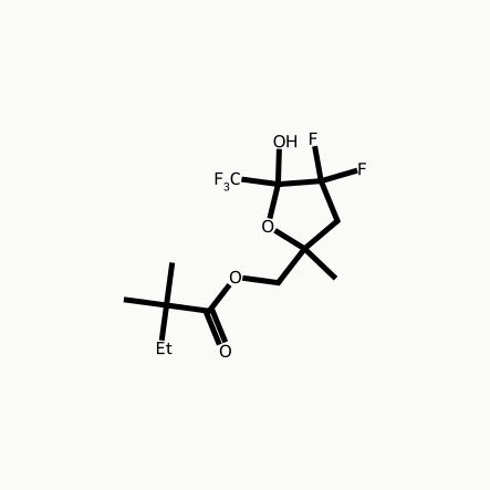 CCC(C)(C)C(=O)OCC1(C)CC(F)(F)C(O)(C(F)(F)F)O1